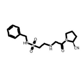 N#C[C@@H]1CCCN1C(=O)CNCCS(=O)(=O)NCc1ccccc1